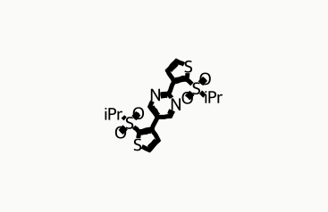 CC(C)S(=O)(=O)c1sccc1-c1cnc(-c2ccsc2S(=O)(=O)C(C)C)nc1